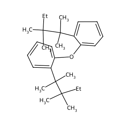 CCC(C)(C)C(C)(C)c1ccccc1Oc1ccccc1C(C)(C)C(C)(C)CC